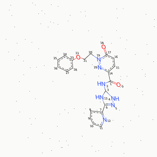 O=C(NC1NN=C(c2ccccn2)N1)c1ccc(=O)n(CCOc2ccccc2)n1